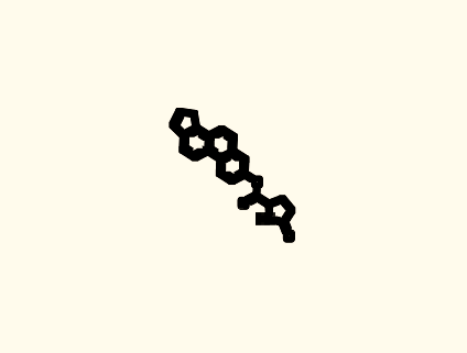 O=C1CCC(C(=O)Oc2ccc3c(ccc4c5c(ccc43)C=CC5)c2)N1